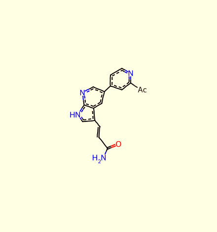 CC(=O)c1cc(-c2cnc3[nH]cc(C=CC(N)=O)c3c2)ccn1